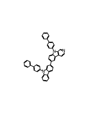 c1ccc(-c2ccc(-n3c4ccc(-c5ccc6c7ccccc7n(-c7ccc(-c8ccccc8)cc7)c6c5)cc4c4ccncc43)cc2)cc1